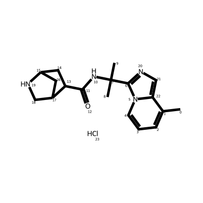 Cc1cccn2c(C(C)(C)NC(=O)C3CC4CC3CN4)ncc12.Cl